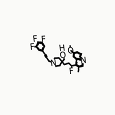 COc1ccc2ncc(C)c([C@@H](F)CCC3(CO)CCN(CC#Cc4cc(F)c(F)c(F)c4)CC3)c2c1